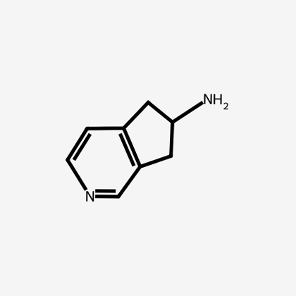 NC1Cc2ccncc2C1